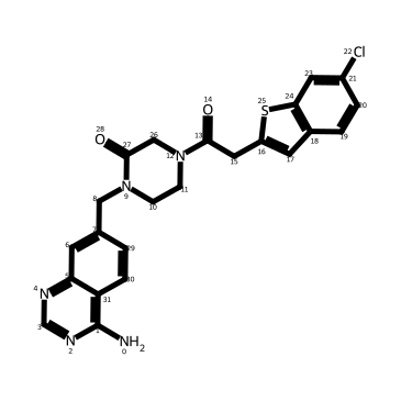 Nc1ncnc2cc(CN3CCN(C(=O)Cc4cc5ccc(Cl)cc5s4)CC3=O)ccc12